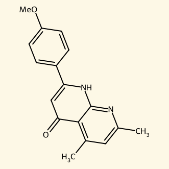 COc1ccc(-c2cc(=O)c3c(C)cc(C)nc3[nH]2)cc1